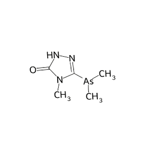 Cn1c([As](C)C)n[nH]c1=O